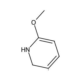 COC1=CC=[C]CN1